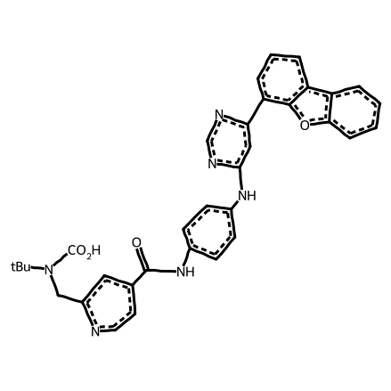 CC(C)(C)N(Cc1cc(C(=O)Nc2ccc(Nc3cc(-c4cccc5c4oc4ccccc45)ncn3)cc2)ccn1)C(=O)O